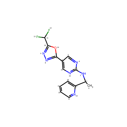 CC(Nc1ncc(-c2nnc(C(F)F)o2)cn1)c1ccccn1